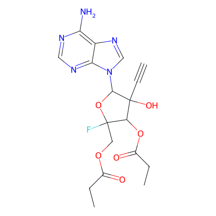 C#CC1(O)C(n2cnc3c(N)ncnc32)OC(F)(COC(=O)CC)C1OC(=O)CC